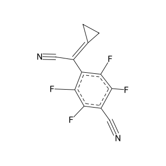 N#CC(=C1CC1)c1c(F)c(F)c(C#N)c(F)c1F